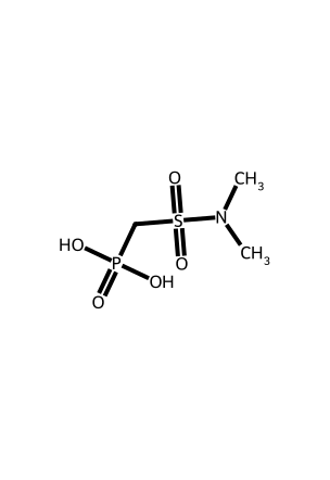 CN(C)S(=O)(=O)CP(=O)(O)O